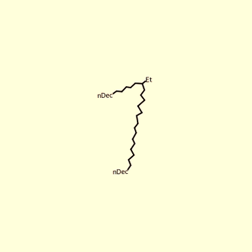 [CH2]CC(CCCCCCCCCCCCCCC)CCCCCCCCCCCCCCCCCCCCCCCCC